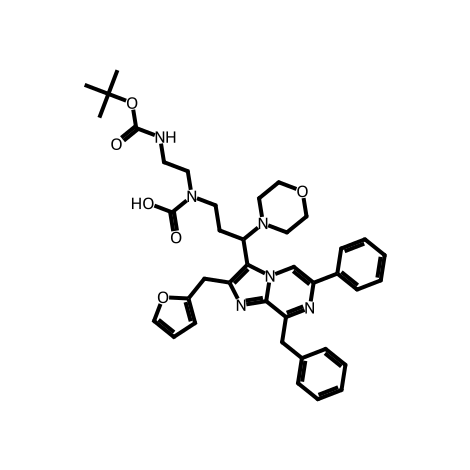 CC(C)(C)OC(=O)NCCN(CCC(c1c(Cc2ccco2)nc2c(Cc3ccccc3)nc(-c3ccccc3)cn12)N1CCOCC1)C(=O)O